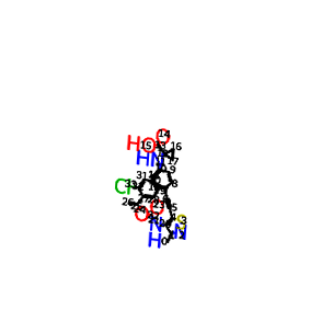 Cc1nsc(C#Cc2ccc(NC3(C(=O)O)CC3)cc2)c1NC(=O)OC(C)c1ccccc1Cl